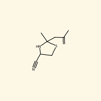 C=C(C)CC1(C)NC(C#N)CS1